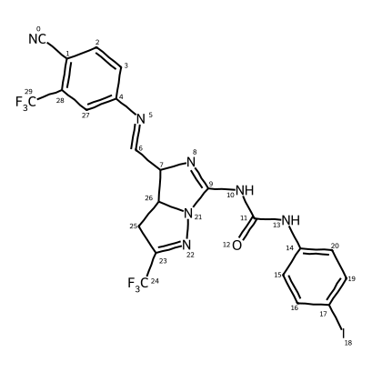 N#Cc1ccc(N=CC2N=C(NC(=O)Nc3ccc(I)cc3)N3N=C(C(F)(F)F)CC23)cc1C(F)(F)F